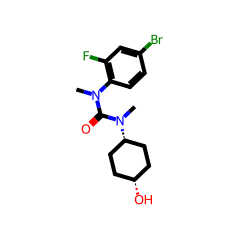 CN(C(=O)N(C)[C@H]1CC[C@@H](O)CC1)c1ccc(Br)cc1F